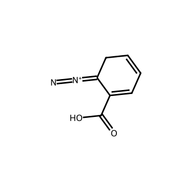 [N-]=[N+]=C1CC=CC=C1C(=O)O